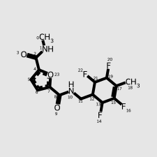 CNC(=O)c1ccc(C(=O)NCC2C(F)C(F)=C(C)C(F)C2F)o1